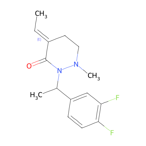 C/C=C1\CCN(C)N(C(C)c2ccc(F)c(F)c2)C1=O